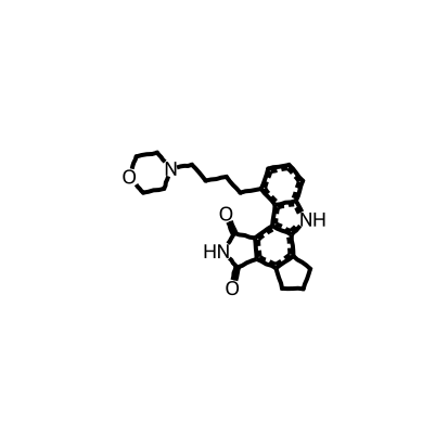 O=C1NC(=O)c2c1c1c(c3[nH]c4cccc(CCCCN5CCOCC5)c4c23)CCC1